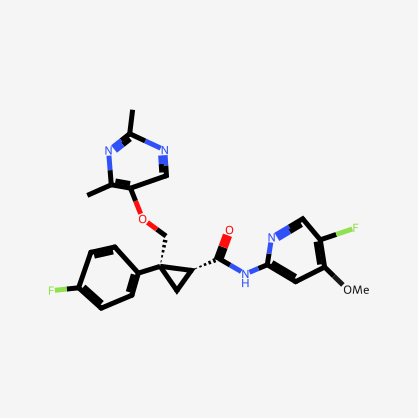 COc1cc(NC(=O)[C@@H]2C[C@@]2(COc2cnc(C)nc2C)c2ccc(F)cc2)ncc1F